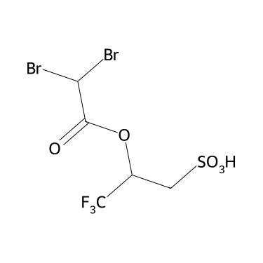 O=C(OC(CS(=O)(=O)O)C(F)(F)F)C(Br)Br